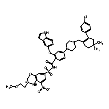 COCC[C@H]1COc2cc(S(=O)(=O)NC(=O)c3ccc(N4CCN(CC5=C(c6ccc(Cl)cc6)CC(C)(C)CC5)CC4)cc3Oc3cnc4[nH]ccc4c3)cc([N+](=O)[O-])c2N1